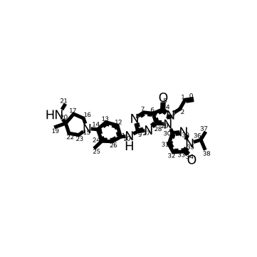 C=CCn1c(=O)c2cnc(Nc3ccc(N4CCC(C)(NC)CC4)c(C)c3)nc2n1-c1ccc(=O)n(C(C)C)n1